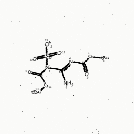 CC(C)(C)OC(=O)N=C(N)N(C(=O)OC(C)(C)C)S(=O)(=O)C(F)(F)F